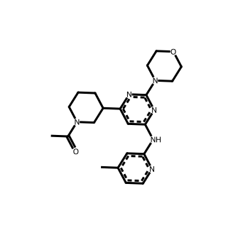 CC(=O)N1CCCC(c2cc(Nc3cc(C)ccn3)nc(N3CCOCC3)n2)C1